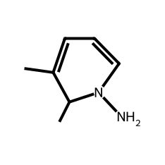 CC1=CC=CN(N)C1C